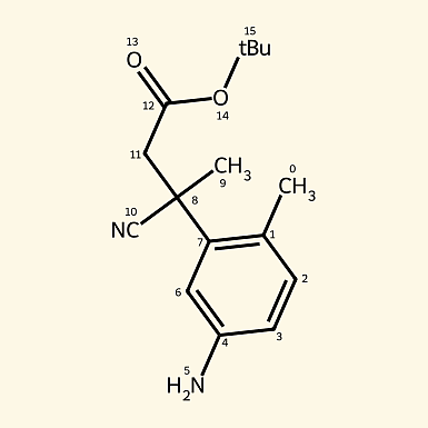 Cc1ccc(N)cc1C(C)(C#N)CC(=O)OC(C)(C)C